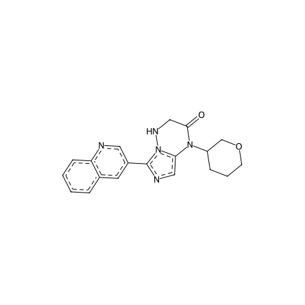 O=C1CNn2c(cnc2-c2cnc3ccccc3c2)N1C1CCCOC1